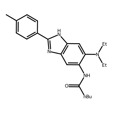 CCCCC(=O)Nc1cc2nc(-c3ccc(C)cc3)[nH]c2cc1N(CC)CC